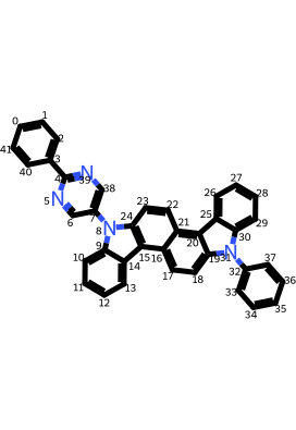 c1ccc(-c2ncc(-n3c4ccccc4c4c5ccc6c(c5ccc43)c3ccccc3n6-c3ccccc3)cn2)cc1